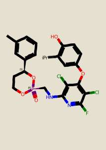 Cc1cccc([C@@H]2CCO[P@](=O)(CNc3nc(F)c(Cl)c(Oc4ccc(O)c(C(C)C)c4)c3Cl)O2)c1